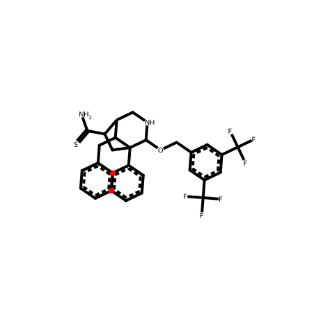 NC(=S)C1CC2(c3ccccc3)C(OCc3cc(C(F)(F)F)cc(C(F)(F)F)c3)NCC1C2Cc1ccccc1